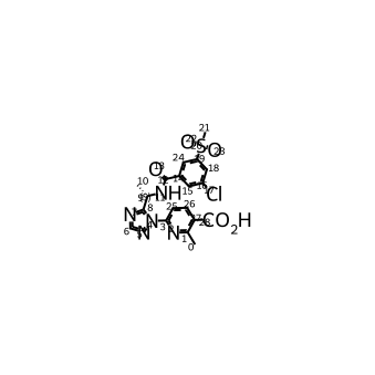 Cc1nc(-n2ncnc2[C@H](C)NC(=O)c2cc(Cl)cc(S(C)(=O)=O)c2)ccc1C(=O)O